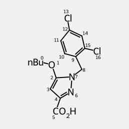 CCCCOc1cc(C(=O)O)nn1Cc1ccc(Cl)cc1Cl